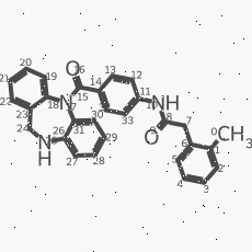 Cc1ccccc1CC(=O)Nc1ccc(C(=O)N2c3ccccc3CNc3ccccc32)cc1